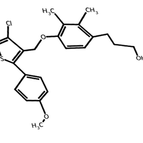 COc1ccc(-c2snc(Cl)c2COc2ccc(CCCO)c(C)c2C)cc1